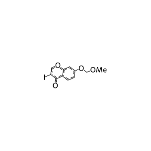 COCOc1ccc2c(=O)c(I)coc2c1